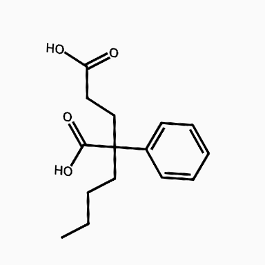 CCCCC(CCC(=O)O)(C(=O)O)c1ccccc1